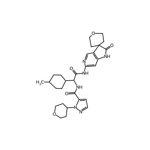 CC1CCC(C(NC(=O)c2ccnn2C2CCOCC2)C(=O)Nc2cc3c(cn2)C2(CCOCC2)C(=O)N3)CC1